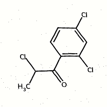 CC(Cl)C(=O)c1ccc(Cl)cc1Cl